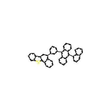 c1cc(-c2c3ccccc3c(-c3cccc4ccccc34)c3ccccc23)cc(-c2cc3c4ccccc4sc3c3ccccc23)c1